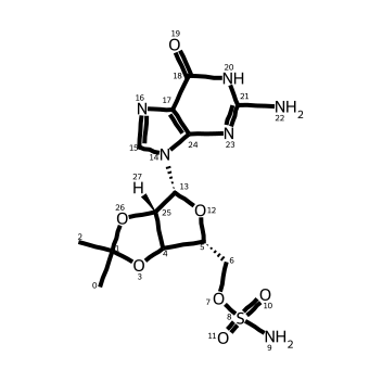 CC1(C)OC2[C@@H](COS(N)(=O)=O)O[C@@H](n3cnc4c(=O)[nH]c(N)nc43)[C@H]2O1